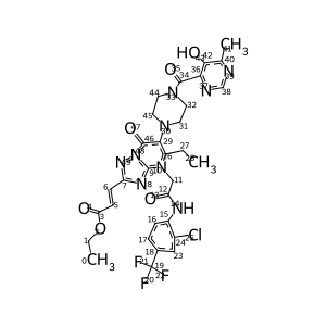 CCOC(=O)/C=C/c1nc2n(CC(=O)Nc3ccc(C(F)(F)F)cc3Cl)c(CC)c(N3CCN(C(=O)c4ncnc(C)c4O)CC3)c(=O)n2n1